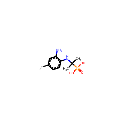 CC(C)(Nc1ccc(C(F)(F)F)cc1N)P(=O)(O)O